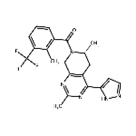 Cc1nc2c(c(-c3ccn[nH]3)n1)C[C@@H](C)N(C(=O)c1cccc(C(F)(F)F)c1C)C2